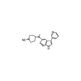 CN(c1cnc2[nH]cc(-c3cccnc3)c2c1)C1CCN(C#N)CC1